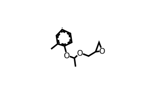 Cc1c[c]ccc1OC(C)OCC1CO1